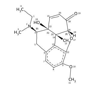 CCN(C)[C@@H]1Cc2ccc(OC)c3c2[C@@]2(C)[C@@H](O3)C(=O)C=C[C@@]12O